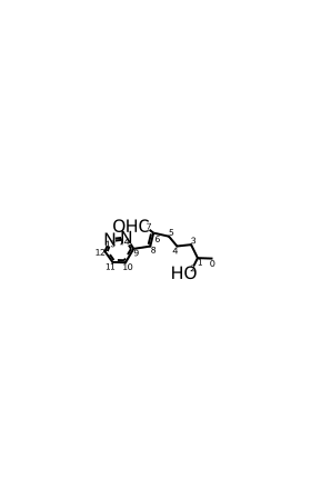 CC(O)CCC/C(C=O)=C/c1cccnn1